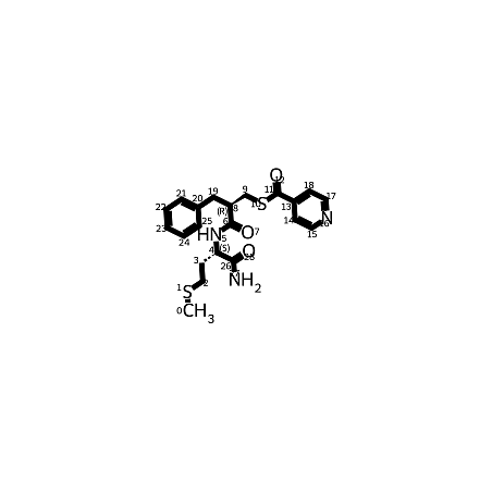 CSCC[C@H](NC(=O)[C@H](CSC(=O)c1ccncc1)Cc1ccccc1)C(N)=O